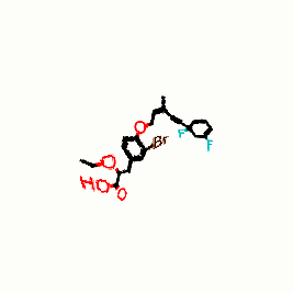 CCO[C@@H](Cc1ccc(OCC=C(C)C#CC2(F)C=CC=C(F)C2)c(Br)c1)C(=O)O